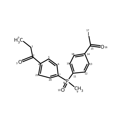 CCC(=O)c1ccc(P(C)(=O)c2ccc(C(=O)I)cc2)cc1